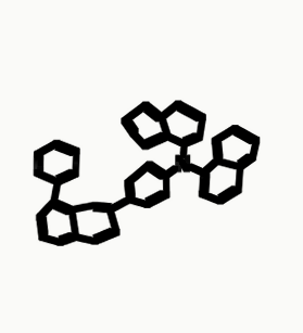 c1ccc(-c2cccc3ccc(-c4ccc(N(c5cccc6ccccc56)c5cccc6ccccc56)cc4)cc23)cc1